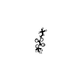 CC(C)(C)CCOC(=O)C(=O)OC(C)(C)C